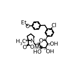 CCOc1ccc(Cc2cc([C@@H]3O[C@H](CN4CCC[C@@]4(C)C(=O)OC)[C@H](O)[C@@H](O)[C@H]3O)ccc2Cl)cc1